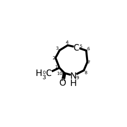 CC1CCCCCCCNC1=O